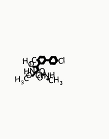 CCNC(=O)OC1=C(c2cc(-c3ccc(Cl)cc3)ccc2C)C(=O)NC1(C)COC